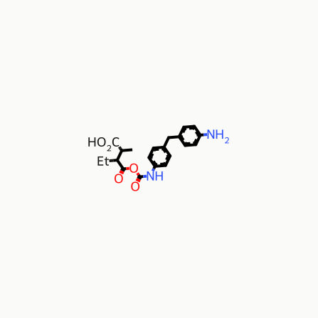 CCC(C(=O)OC(=O)Nc1ccc(Cc2ccc(N)cc2)cc1)C(C)C(=O)O